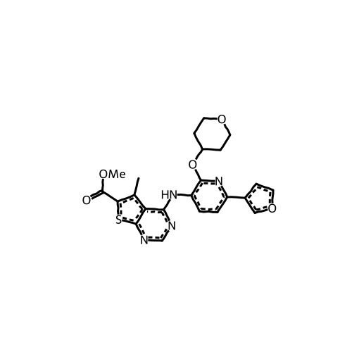 COC(=O)c1sc2ncnc(Nc3ccc(-c4ccoc4)nc3OC3CCOCC3)c2c1C